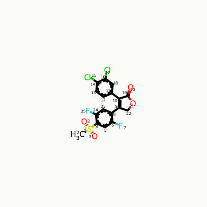 CS(=O)(=O)c1cc(F)c(C2=C(c3ccc(Cl)c(Cl)c3)C(=O)OC2)cc1F